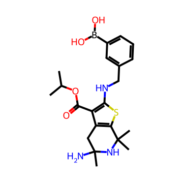 CC(C)OC(=O)c1c(NCc2cccc(B(O)O)c2)sc2c1CC(C)(N)NC2(C)C